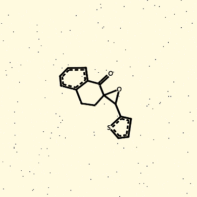 O=C1c2ccccc2CCC12OC2c1cccs1